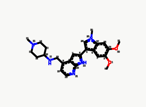 COc1cc2c(-c3cc4c(CNC5CCN(C)CC5)ccnc4[nH]3)cn(C)c2cc1OC